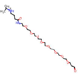 CC(C)NCCCC(=O)NCCOCCOCCOCCOCCOCCOCCOCCOCCC=O